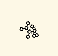 c1ccc(-c2cc(-c3ccccc3)cc(-c3nc(-c4ccccc4)nc(-c4c5c(cc6oc7ccccc7c46)-c4cccc6cccc-5c46)n3)c2)cc1